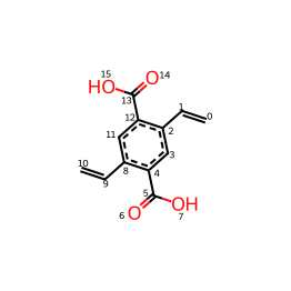 C=Cc1cc(C(=O)O)c(C=C)cc1C(=O)O